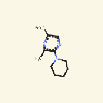 CCOC(=O)c1[c]nc(N2CCCCC2)c(C)n1